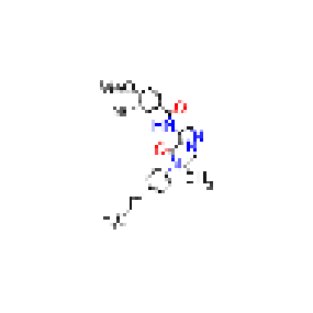 COc1ccc(C(=O)Nc2cnn3c2C(=O)N(c2ccc([C@H]4C[C@@H](C(F)(F)F)C4)cc2)[C@@H](C)C3)cc1C#N